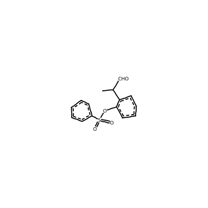 CC(C=O)c1ccccc1OS(=O)(=O)c1ccccc1